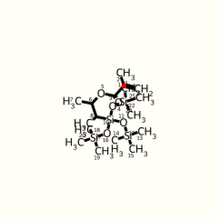 C=C(C)C(=O)OC(C)C(C)[Si](O[Si](C)(C)C)(O[Si](C)(C)C)O[Si](C)(C)C